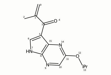 C=C(C)C(=O)c1c[nH]c2ncc(OC(C)C)nc12